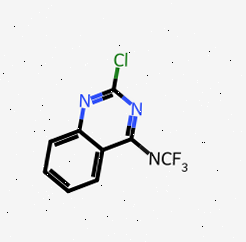 FC(F)(F)Nc1nc(Cl)nc2ccccc12